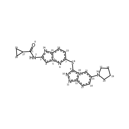 O=C(Nc1cn2nc(Sc3nnc4ccc(N5CCCC5)cn34)ccc2n1)C1CC1